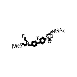 CSCCN(CCCF)Cc1ccc(-c2ccc(N3C[C@H](CNC(C)=O)OC3=O)cc2F)cc1